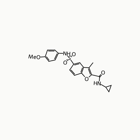 COc1ccc(NS(=O)(=O)c2ccc3oc(C(=O)NC4CC4)c(C)c3c2)cc1